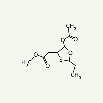 CCC1OC(OC(C)=O)C(CC(=O)OC)S1